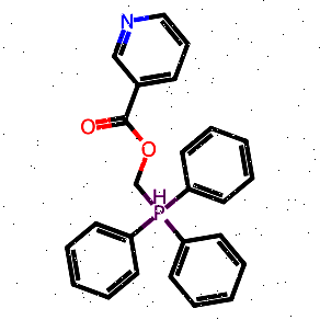 O=C(OC[PH](c1ccccc1)(c1ccccc1)c1ccccc1)c1cccnc1